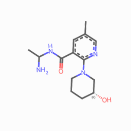 Cc1cnc(N2CCC[C@@H](O)C2)c(C(=O)NC(C)N)c1